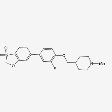 CC(C)(C)N1CCC(COc2ccc(-c3ccc4c(c3)OCS4(=O)=O)cc2F)CC1